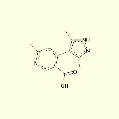 Cc1cc(-c2c(C)n[nH]c2C)c(C(=O)O)cn1